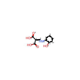 O=C(O)C(=CNc1ccccc1O)C(=O)O